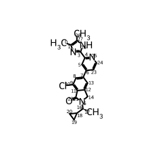 Cc1nc(-c2cc(-c3cc(Cl)c4c(c3)CN([C@@H](C)C3CC3)C4=O)ccn2)[nH]c1C